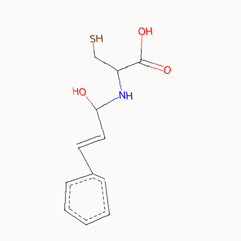 O=C(O)C(CS)NC(O)C=Cc1ccccc1